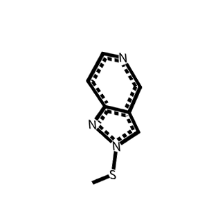 CSn1cc2cnccc2n1